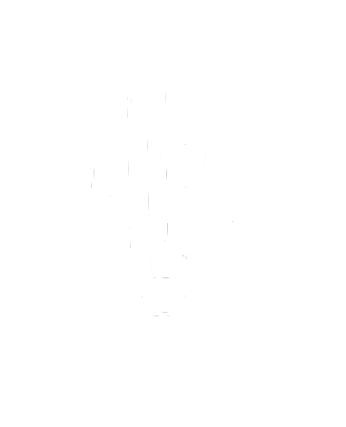 c1ccc(-c2c3ccccc3c(-c3ccc4c5ccccc5n(-c5ccccc5)c4c3)c3ccccc23)cc1